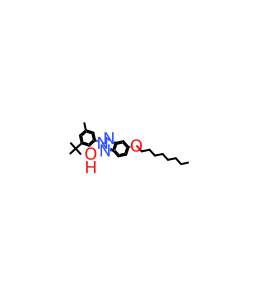 CCCCCCCCOc1ccc2nn(-c3cc(C)cc(C(C)(C)C)c3O)nc2c1